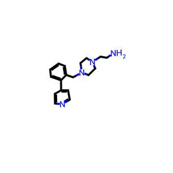 NCCN1CCN(Cc2ccccc2-c2ccncc2)CC1